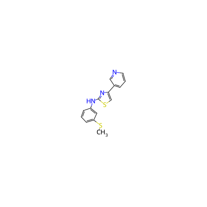 CSc1cccc(Nc2nc(-c3cccnc3)cs2)c1